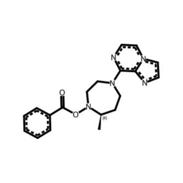 C[C@@H]1CCN(c2nccn3ccnc23)CCN1OC(=O)c1ccccc1